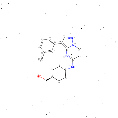 OC[C@H]1CC[C@H](Nc2ccn3ncc(-c4cccc(C(F)(F)F)c4)c3n2)CC1